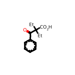 CCC(CC)(C(=O)O)C(=O)c1ccccc1